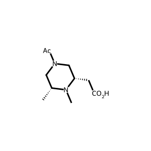 CC(=O)N1C[C@H](CC(=O)O)N(C)[C@H](C)C1